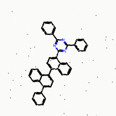 c1ccc(-c2nc(-c3ccccc3)nc(-c3ccc(-c4ccc(-c5ccccc5)c5ccccc45)c4ccccc34)n2)cc1